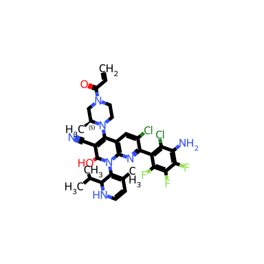 C=CC(=O)N1CCN(C2=C(C#N)C(O)N(C3=C(C)C=CNC3C(C)C)c3nc(-c4c(F)c(F)c(F)c(N)c4Cl)c(Cl)cc32)[C@@H](C)C1